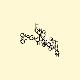 Cc1ccccc1[C@@H]1CCCN1C1CC2(CCN(c3ccc(C(=O)NS(=O)(=O)c4cc5c(c([N+](=O)[O-])c4)N[C@H](CN4CCN(C)CC4)CO5)c(N4CCCOc5nc6[nH]ccc6cc54)c3)CC2)C1